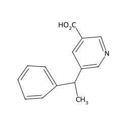 CC(c1ccccc1)c1cncc(C(=O)O)c1